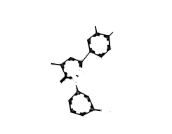 Cc1cc(-c2ccc(Cl)c(F)c2)nn(-c2cccc(F)c2)c1=O